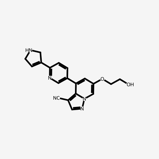 N#Cc1cnn2cc(OCCO)cc(-c3ccc(C4=CCNC4)nc3)c12